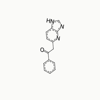 O=C(Cc1ccc2[nH]cnc2n1)c1ccccc1